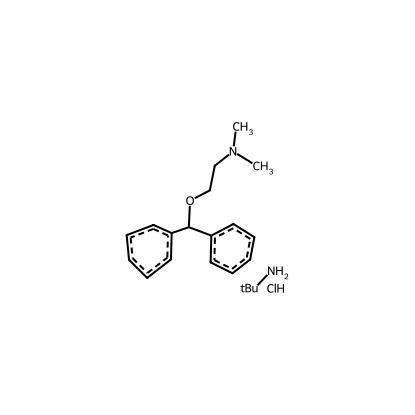 CC(C)(C)N.CN(C)CCOC(c1ccccc1)c1ccccc1.Cl